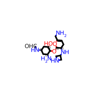 NCC1=CC[C@@H](NC2CNC2)[C@@H](OC2[C@H](O)C[C@H](NC=O)C[C@@H]2N)O1